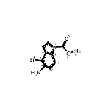 CC(C)(C)OC(=O)n1ccc2c(Br)c(N)ccc21